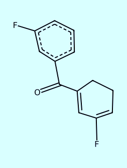 O=C(C1=CC(F)=CCC1)c1cccc(F)c1